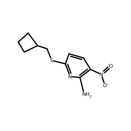 Nc1nc(SCC2CCC2)ccc1[N+](=O)[O-]